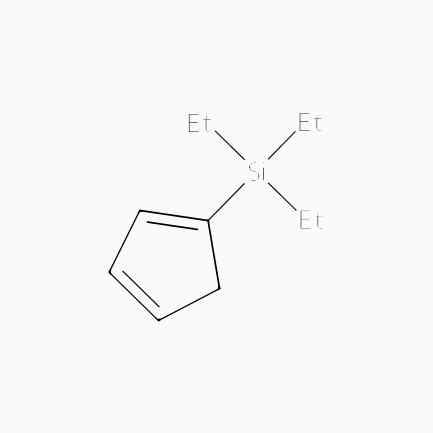 CC[Si](CC)(CC)C1=CC=CC1